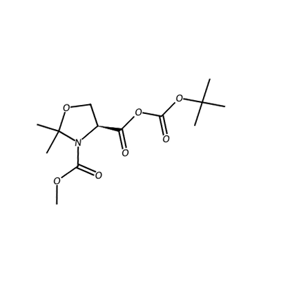 COC(=O)N1[C@H](C(=O)OC(=O)OC(C)(C)C)COC1(C)C